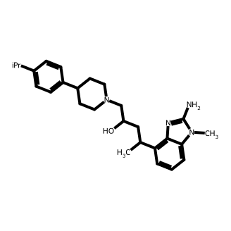 CC(C)c1ccc(C2CCN(CC(O)CC(C)c3cccc4c3nc(N)n4C)CC2)cc1